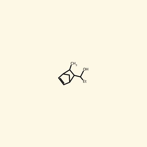 CCC(O)C1C2C=CC(C2)C1C